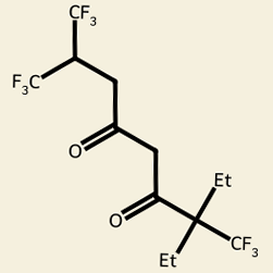 CCC(CC)(C(=O)CC(=O)CC(C(F)(F)F)C(F)(F)F)C(F)(F)F